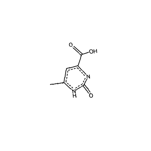 Cc1cc(C(=O)O)nc(=O)[nH]1